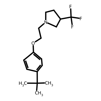 CC(C)(C)c1ccc(OCCN2CCC(C(F)(F)F)C2)cc1